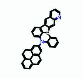 C1=CC2=CCc3cc(N4c5ccccc5B5c6cc7ncccc7cc6-c6cccc4c65)cc4c3C2C(=C1)C=C4